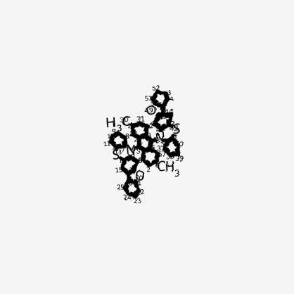 Cc1ccc2c(N3c4ccccc4Sc4cc5c(cc43)oc3ccccc35)c3cc(C)ccc3c(N3c4ccccc4Sc4cc5c(cc43)oc3ccccc35)c2c1